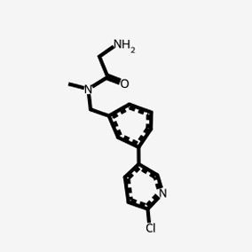 CN(Cc1cccc(-c2ccc(Cl)nc2)c1)C(=O)CN